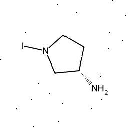 N[C@H]1CCN(I)C1